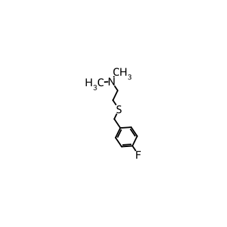 CN(C)CCSCc1ccc(F)cc1